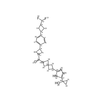 O=C(N1CC(c2ccc(C3CC(C(F)F)C3)cc2)C1)N1CC2(CC(c3nnc(C4(O)CC4)[nH]3)C2)C1